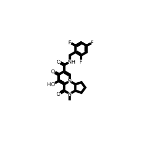 CN1C(=O)c2c(O)c(=O)c(C(=O)NCc3c(F)cc(F)cc3F)cn2C2CCCC21